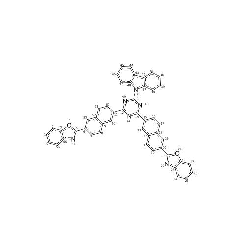 c1ccc2oc(-c3ccc4cc(-c5nc(-c6ccc7cc(-c8nc9ccccc9o8)ccc7c6)nc(-n6c7ccccc7c7ccccc76)n5)ccc4c3)nc2c1